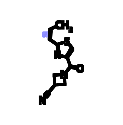 C/C=C\c1nc(C(=O)N2CC(C#N)C2)cs1